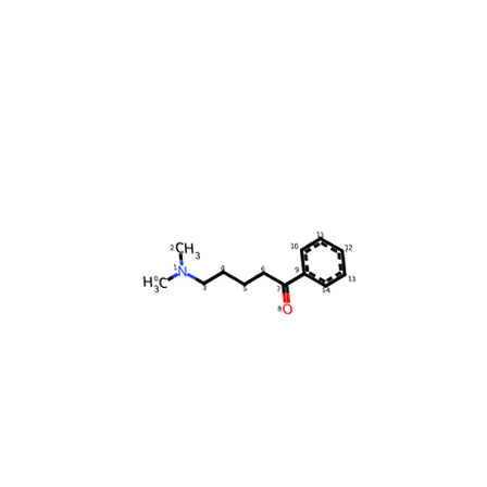 CN(C)CCCCC(=O)c1cc[c]cc1